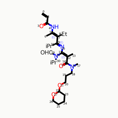 C=CC(=O)N/C(C)=C(CC)/C(=N/C(=C(\C)C(=O)N(C)CCCOC1CCCCO1)N(C=O)C(C)C)C(C)C